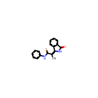 N#C/C(C(=S)Nc1ccccc1)=C1\NC(=O)c2ccccc21